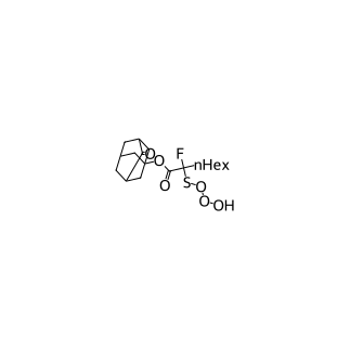 CCCCCCC(F)(SOOO)C(=O)OC12CC3CC(C1)C(=O)C(C3)C2